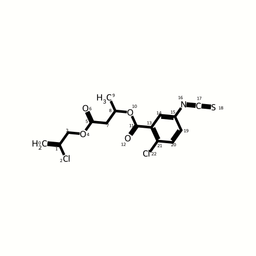 C=C(Cl)COC(=O)CC(C)OC(=O)c1cc(N=C=S)ccc1Cl